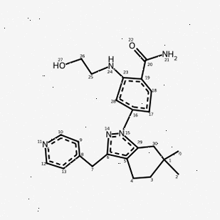 CC1(C)CCc2c(Cc3ccncc3)nn(-c3ccc(C(N)=O)c(NCCO)c3)c2C1